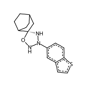 c1cc2cc(N3NO[C@@]4(CC5CCC4CC5)N3)ccc2s1